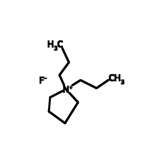 CCC[N+]1(CCC)CCCC1.[F-]